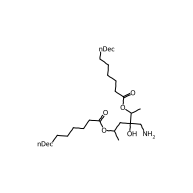 CCCCCCCCCCCCCCCC(=O)OC(C)CC(O)(CN)C(C)OC(=O)CCCCCCCCCCCCCCC